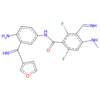 CNc1cc(F)c(C(=O)Nc2ccc(N)c(C(=N)c3ccoc3)c2)c(F)c1C=N